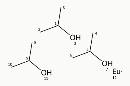 CC(C)O.CC(C)O.CC(C)O.[Eu]